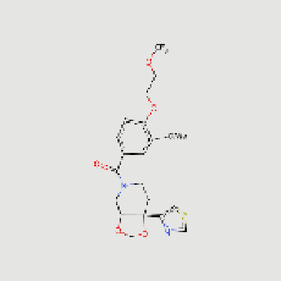 COc1cc(C(=O)N2CC[C@]3(c4cscn4)OCOC3C2)ccc1OCCOC(F)(F)F